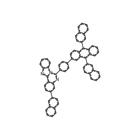 c1ccc2cc(-c3ccc4c(c3)nc(-c3ccc(-c5ccc6c(-c7ccc8ccccc8c7)c7ccccc7c(-c7ccc8ccccc8c7)c6c5)cc3)n3c5ccccc5nc43)ccc2c1